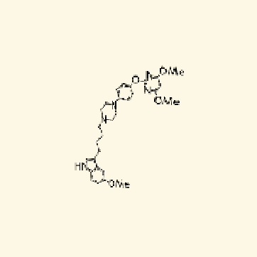 COc1ccc2[nH]cc(CCCCN3CCN(c4ccc(Oc5nc(OC)cc(OC)n5)cc4)CC3)c2c1